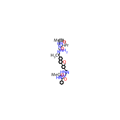 C=CCCN(C/C(N)=N/C=C(\C)c1ccc2c3c(ccc2c1)-c1ccc(-c2cnc(CNC(=O)[C@H](NC(=O)OC)c4ccccc4)[nH]2)cc1CO3)C(=O)[C@@H](NC(=O)OC)C(C)C